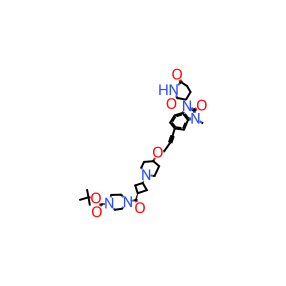 Cn1c(=O)n(C2CCC(=O)NC2=O)c2ccc(C#CCOC3CCN([C@H]4C[C@H](C(=O)N5CCN(C(=O)OC(C)(C)C)CC5)C4)CC3)cc21